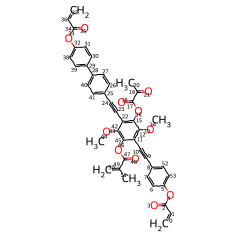 C=CC(=O)Oc1ccc(C#Cc2c(OC)c(OC(=O)C(C)=O)c(C#Cc3ccc(-c4ccc(OC(=O)C=C)cc4)cc3)c(OC)c2OC(=O)C(=C)C)cc1